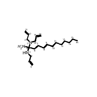 C=CCNC(N)(CCCCCCCCCCC)N(CC=C)CC=C